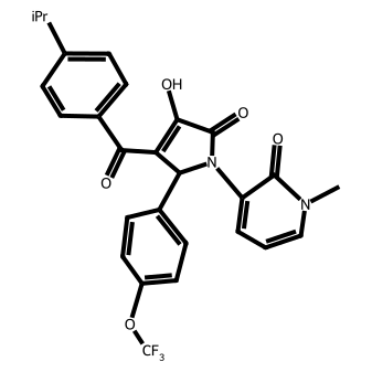 CC(C)c1ccc(C(=O)C2=C(O)C(=O)N(c3cccn(C)c3=O)C2c2ccc(OC(F)(F)F)cc2)cc1